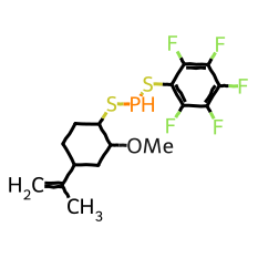 C=C(C)C1CCC(SPSc2c(F)c(F)c(F)c(F)c2F)C(OC)C1